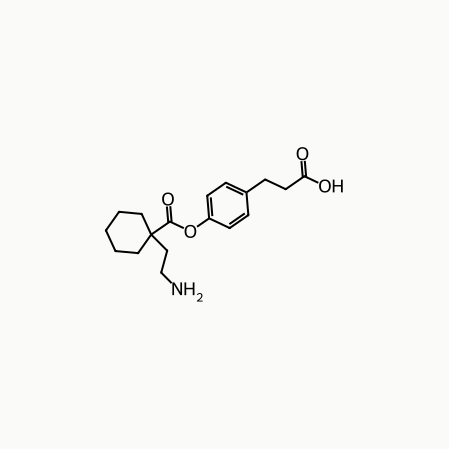 NCCC1(C(=O)Oc2ccc(CCC(=O)O)cc2)CCCCC1